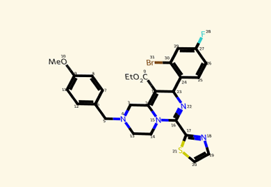 CCOC(=O)C1=C2CN(Cc3ccc(OC)cc3)CCN2C(c2nccs2)=NC1c1ccc(F)cc1Br